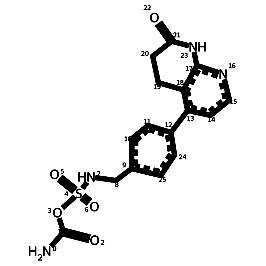 NC(=O)OS(=O)(=O)NCc1ccc(-c2ccnc3c2CCC(=O)N3)cc1